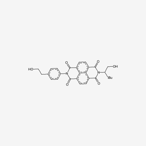 CCC(C)C(CO)N1C(=O)c2ccc3c4c(ccc(c24)C1=O)C(=O)N(c1ccc(CCO)cc1)C3=O